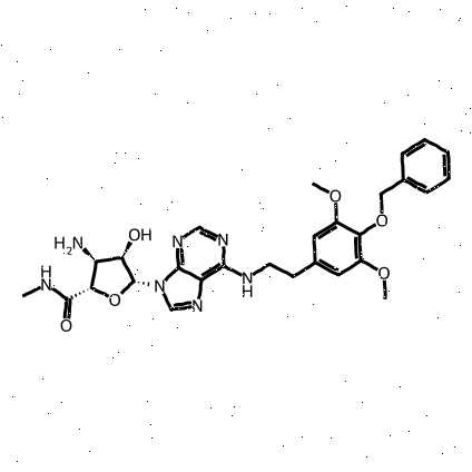 CNC(=O)[C@H]1O[C@@H](n2cnc3c(NCCc4cc(OC)c(OCc5ccccc5)c(OC)c4)ncnc32)[C@H](O)[C@@H]1N